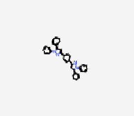 c1ccc(C2CC(c3ccc(C4=NN(c5ccccc5)C(c5ccccc5)C4)cc3)=NN2c2ccccc2)cc1